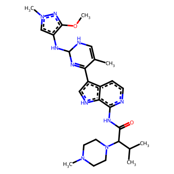 COc1nn(C)cc1NC1N=C(c2c[nH]c3c(NC(=O)C(C(C)C)N4CCN(C)CC4)nccc23)C(C)=CN1